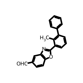 Cc1c(-c2ccccc2)cccc1-c1nc2cc(C=O)ccc2o1